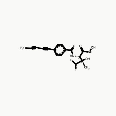 C[C@@](O)(C(F)F)[C@H](NC(=O)c1ccc(C#CC#CC(F)(F)F)cc1)C(=O)NO